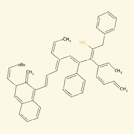 C=C\C=C/C(=C\C)C(=C(/S)Cc1ccccc1)/C(=C/C(/C=C\C)=C/C=C/C1=c2ccccc2=CC(/C=C\CCCC)C1=C)c1ccccc1